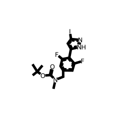 CN(Cc1cc(F)c(-c2cc(I)n[nH]2)c(F)c1)C(=O)OC(C)(C)C